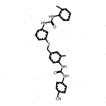 Cc1ccccc1NC(=O)Nc1cccc(SCc2ccc(NC(=O)Nc3ccc(C#N)cc3)c(C)c2)c1